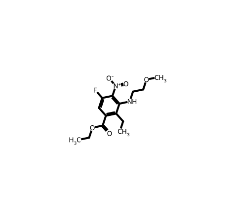 CCOC(=O)c1cc(F)c([N+](=O)[O-])c(NCCOC)c1CC